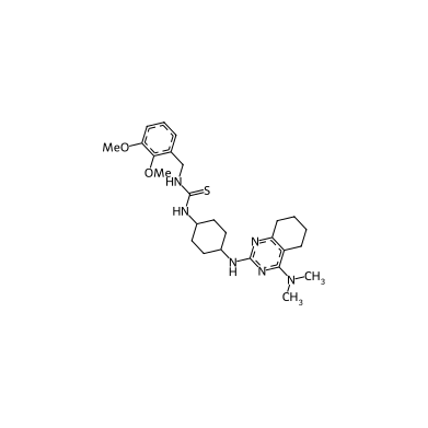 COc1cccc(CNC(=S)NC2CCC(Nc3nc4c(c(N(C)C)n3)CCCC4)CC2)c1OC